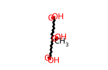 CC(=O)O.O=C(O)CCCCCCCCCCCCCCCCCCCC(=O)O